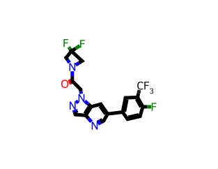 O=C(Cn1ncc2ncc(-c3ccc(F)c(C(F)(F)F)c3)cc21)N1CC(F)(F)C1